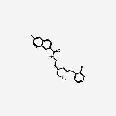 CCN(CCNC(=O)c1ccc2cc(I)ccc2c1)CCOc1cccnc1F